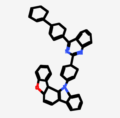 C1=CCCC(C2=CC=C(c3nc(C4C=CC(n5c6c(c7ccccc75)C=CC5Oc7ccccc7C65)=CC4)nc4ccccc34)CC2)=C1